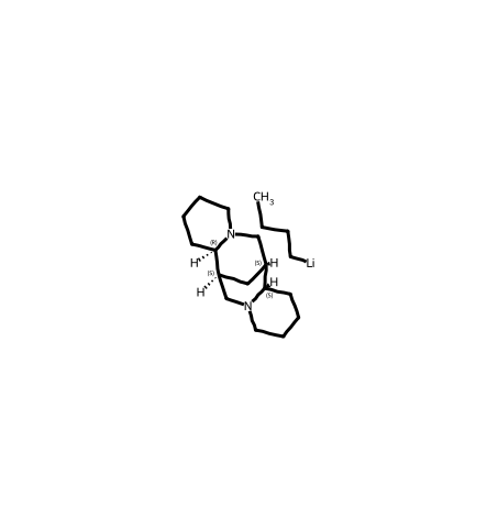 C1CCN2C[C@@H]3C[C@@H](CN4CCCC[C@@H]34)[C@H]2C1.[Li][CH2]CCC